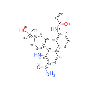 C=CC(=O)Nc1cccc(-c2ccc(C(N)=O)c3[nH]c4c(c23)CCC(C(C)(C)O)C4)c1